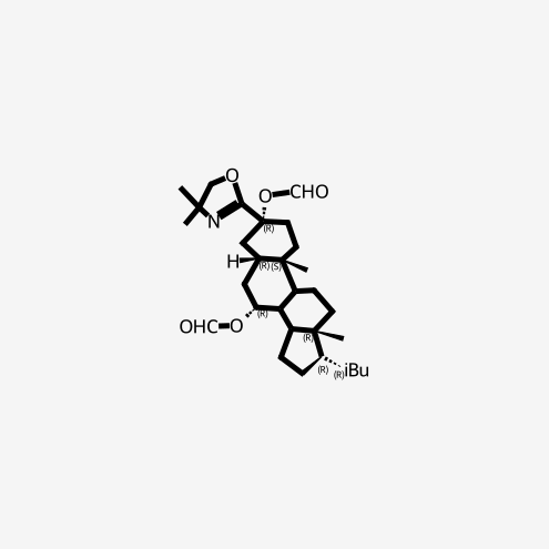 CC[C@@H](C)[C@H]1CCC2C3C(CC[C@@]21C)[C@@]1(C)CC[C@](OC=O)(C2=NC(C)(C)CO2)C[C@H]1C[C@H]3OC=O